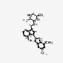 COc1cc(C)cc2cc(-c3cc(CNC4NC(C)CNC4C)n4ncnc(N)c34)sc12